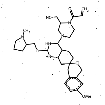 C=CC(=O)N1CCN(C2NC(OCC3CCCN3C)NC3C[C@]4(CCC32)Cc2ccc(OC)cc2CO4)CC1CC#N